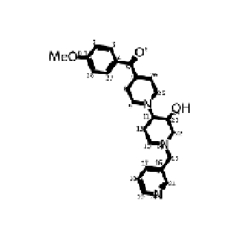 COc1ccc(C(=O)C2CCN(C3CCN(Cc4cccnc4)CC3O)CC2)cc1